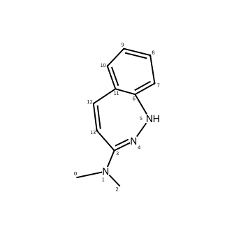 CN(C)C1=NNc2ccccc2C=C1